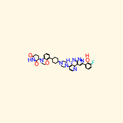 Nc1nnc(-c2cccc(F)c2O)cc1-c1cc(N2CCN(C3CCC(c4cccc5c4OCCN5[C@@H]4CCC(=O)NC4=O)CC3)CC2)ccn1